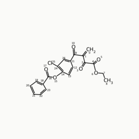 C=C(C(=O)C(=O)OCC)C(=O)c1ccc(OC(=O)c2ccccc2)c(Cl)c1